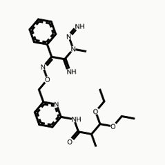 CCOC(OCC)C(C)C(=O)Nc1cccc(CO/N=C(\C(=N)N(C)N=N)c2ccccc2)n1